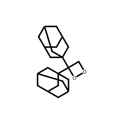 C1C2CC3CC1CC(C1(C45CC6CC(CC(C6)C4)C5)COO1)(C2)C3